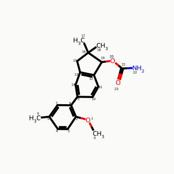 COc1ccc(C)cc1-c1ccc2c(c1)CC(C)(C)C2OC(N)=O